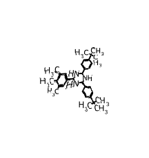 Cc1cc(C2NC(c3ccc(C(C)(C)C)cc3)NC(c3ccc(C(C)(C)C)cc3)N2)cc(C)c1C